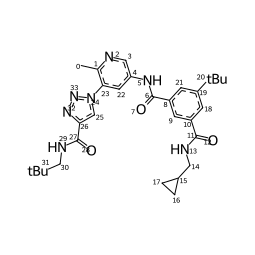 Cc1ncc(NC(=O)c2cc(C(=O)NCC3CC3)cc(C(C)(C)C)c2)cc1-n1cc(C(=O)NCC(C)(C)C)nn1